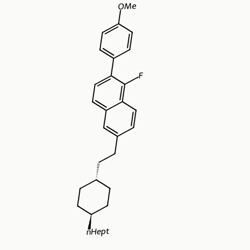 CCCCCCC[C@H]1CC[C@H](CCc2ccc3c(F)c(-c4ccc(OC)cc4)ccc3c2)CC1